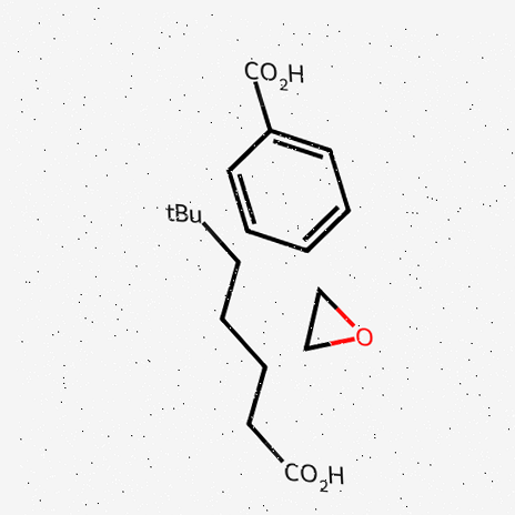 C1CO1.CC(C)(C)CCCCC(=O)O.O=C(O)c1ccccc1